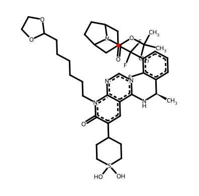 C[C@@H](Nc1ncnc2c1cc(C1CCS(O)(O)CC1)c(=O)n2CCCCCCC1OCCO1)c1cccc(C(F)(F)C2CC3CCC(C2)N3C(=O)OC(C)(C)C)c1F